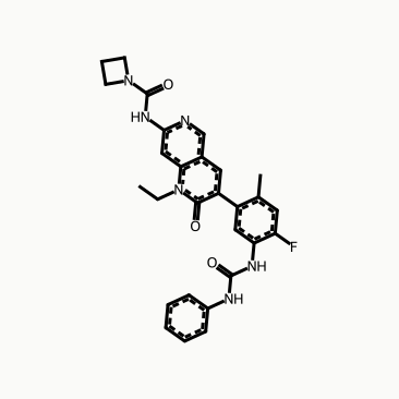 CCn1c(=O)c(-c2cc(NC(=O)Nc3ccccc3)c(F)cc2C)cc2cnc(NC(=O)N3CCC3)cc21